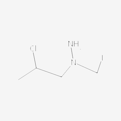 CC(Cl)CN(N)CI